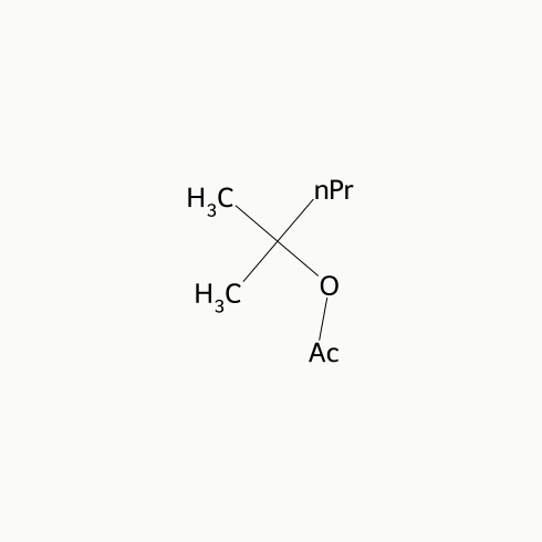 [CH2]CCC(C)(C)OC(C)=O